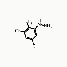 NNc1cc(Cl)cc(Cl)c1C(F)(F)F